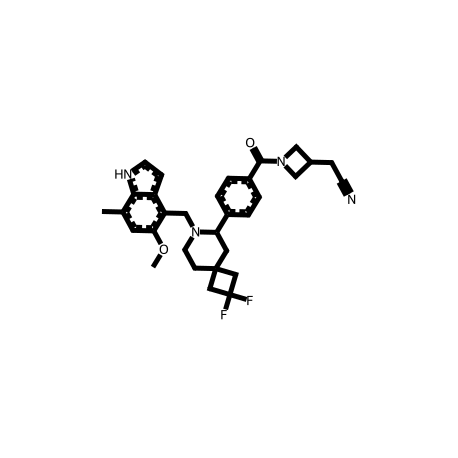 COc1cc(C)c2[nH]ccc2c1CN1CCC2(CC1c1ccc(C(=O)N3CC(CC#N)C3)cc1)CC(F)(F)C2